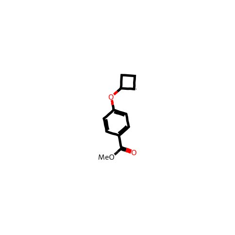 COC(=O)c1ccc(OC2[CH]CC2)cc1